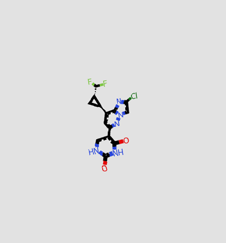 O=c1[nH]cc(-c2cc([C@H]3C[C@@H]3C(F)F)c3nc(Cl)cn3n2)c(=O)[nH]1